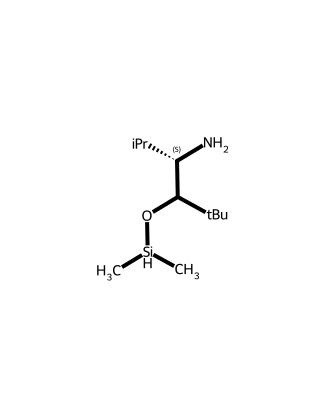 CC(C)[C@H](N)C(O[SiH](C)C)C(C)(C)C